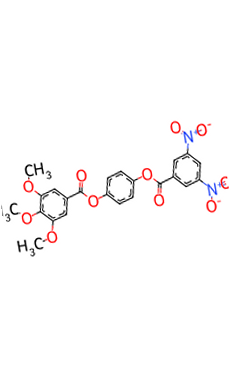 COc1cc(C(=O)Oc2ccc(OC(=O)c3cc([N+](=O)[O-])cc([N+](=O)[O-])c3)cc2)cc(OC)c1OC